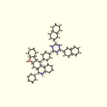 c1ccc(-c2nc3ccccc3c3c(-c4ccc(-c5nc(-c6ccc7ccccc7c6)nc(-c6ccc7ccccc7c6)n5)cc4)c4c(cc23)oc2ccccc24)cc1